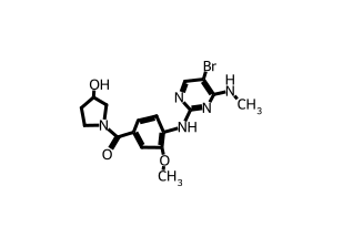 CNc1nc(Nc2ccc(C(=O)N3CCC(O)C3)cc2OC)ncc1Br